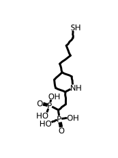 O=P(O)(O)C(CC1CCC(CCCCS)CN1)P(=O)(O)O